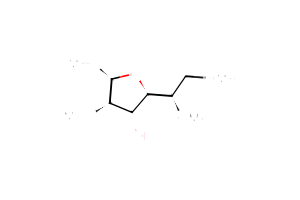 COC[C@@H](OC)[C@@H]1O[C@H](OC)[C@H](OC)[C@H]1O